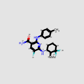 CNC1[C@H](Nc2nc(Nc3ccc(C)cc3)c(C(N)=O)cc2F)CCCC1(F)F